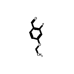 CCOc1ccc(C=O)c(F)c1